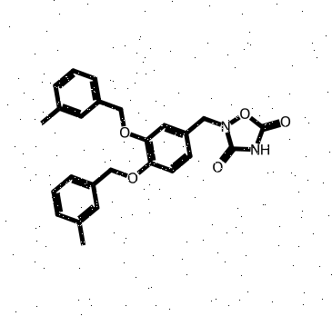 Cc1cccc(COc2ccc(Cn3oc(=O)[nH]c3=O)cc2OCc2cccc(C)c2)c1